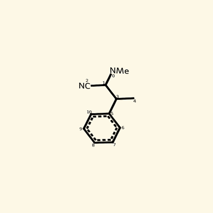 CNC(C#N)C(C)c1ccccc1